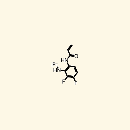 C=CC(=O)Nc1ccc(F)c(F)c1NC(C)C